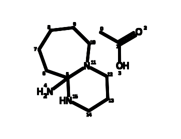 CC(=O)O.NC12CCCCCN1CCCN2